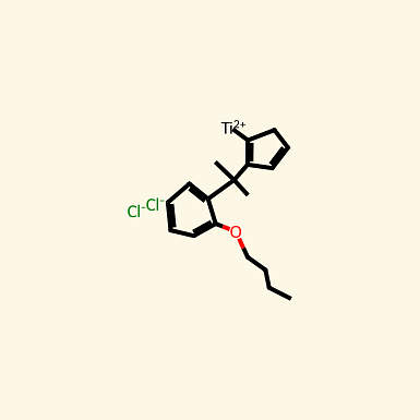 CCCCOc1ccccc1C(C)(C)C1=[C]([Ti+2])CC=C1.[Cl-].[Cl-]